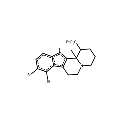 CCOC(=O)C1CCCN2CCc3c([nH]c4ccc(Br)c(Br)c34)C12C